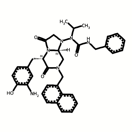 CC(C)N(C(=O)NCc1ccccc1)N1CC(=O)N2[C@@H](Cc3ccc(O)c(N)c3)C(=O)N(Cc3cccc4ccccc34)C[C@@H]21